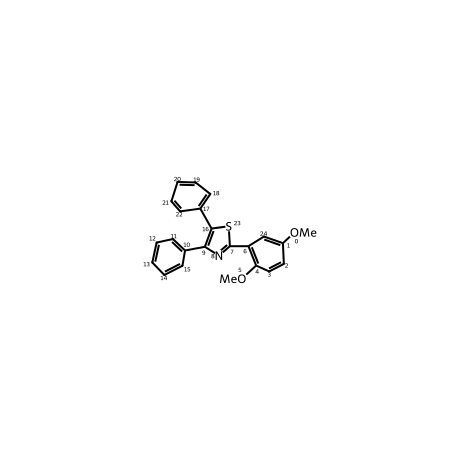 COc1ccc(OC)c(-c2nc(-c3ccccc3)c(-c3ccccc3)s2)c1